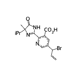 C=CC(Br)c1cnc(C2=NC(C)(C(C)C)C(=O)N2)c(C(=O)O)c1